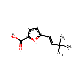 CC(C)(C)C=Cc1ccc(C(=O)O)o1